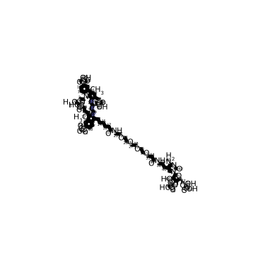 COCC[N+]1=C(/C=C/C=C/C=C2/C(CCCCCC(=O)NCCOCCOCCOCCOCCC(=O)NCCCc3cn([C@@H]4O[C@H](COP(=O)(O)O)C(OP(=O)(O)O)[C@@H]4O)c(=O)nc3N)c3ccc(S(=O)(=O)[O-])cc3C2(C)CCCS(=O)(=O)O)C(C)(CCCS(=O)(=O)O)c2cc(S(=O)(=O)O)ccc21